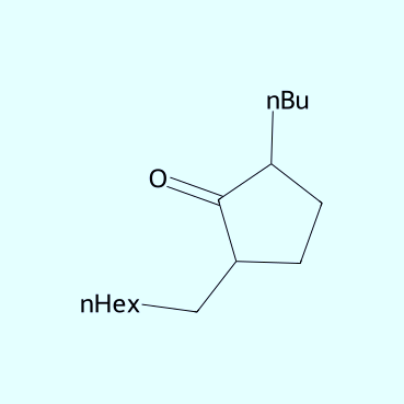 CCCCCCCC1CCC(CCCC)C1=O